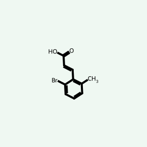 Cc1cccc(Br)c1C=CC(=O)O